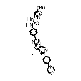 CC(C)(C)c1cc(NC(=O)Nc2ccc(-c3cn4c(n3)sc3nc([C@H]5CC[C@H](N6CCOCC6)CC5)ncc34)cc2)no1